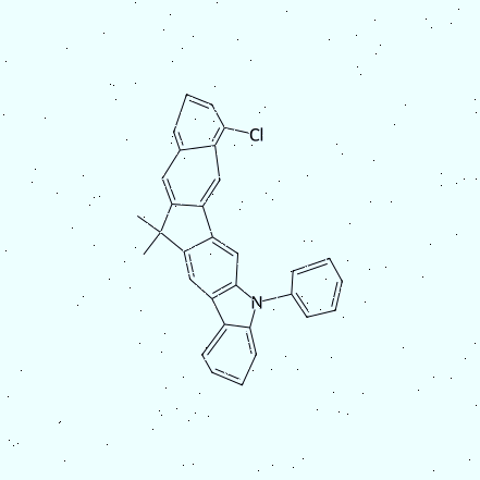 CC1(C)c2cc3cccc(Cl)c3cc2-c2cc3c(cc21)c1ccccc1n3-c1ccccc1